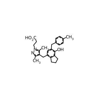 Cc1ccc(Cc2cc(Cc3c(C)nn(CCC(=O)O)c3C)c3c(c2O)CCC3)cc1